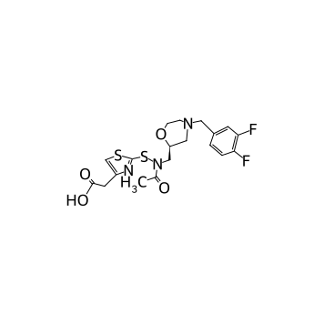 CC(=O)N(C[C@@H]1CN(Cc2ccc(F)c(F)c2)CCO1)Sc1nc(CC(=O)O)cs1